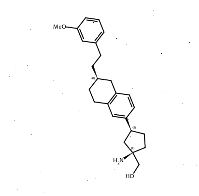 COc1cccc(CC[C@@H]2CCc3cc([C@H]4CC[C@](N)(CO)C4)ccc3C2)c1